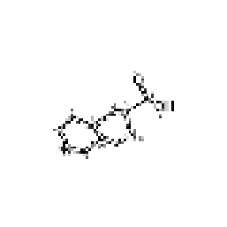 O=C(O)c1cc2ccncc2cn1